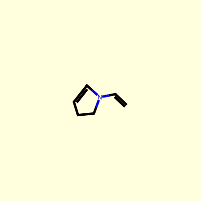 C=CN1C=CCC1